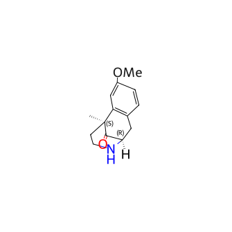 COc1ccc2c(c1)[C@]1(C)CCN[C@H](C2)C1=O